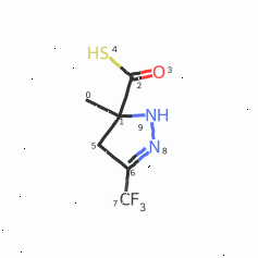 CC1(C(=O)S)CC(C(F)(F)F)=NN1